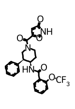 O=C(N[C@@H]1CCN(C(=O)c2cc(=O)[nH]o2)C[C@@H]1c1ccccc1)c1ccccc1OC(F)(F)F